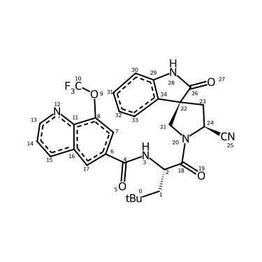 CC(C)(C)C[C@H](NC(=O)c1cc(OC(F)(F)F)c2ncccc2c1)C(=O)N1C[C@]2(C[C@H]1C#N)C(=O)Nc1ccccc12